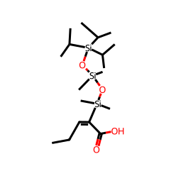 CC/C=C(\C(=O)O)[Si](C)(C)O[Si](C)(C)O[Si](C(C)C)(C(C)C)C(C)C